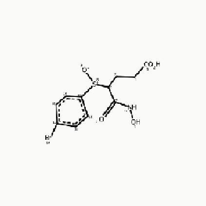 O=C(O)CCC(C(=O)NO)[S+]([O-])c1ccc(Br)cc1